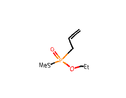 C=CCP(=O)(OCC)SC